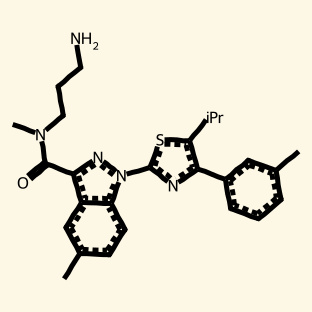 Cc1cccc(-c2nc(-n3nc(C(=O)N(C)CCCN)c4cc(C)ccc43)sc2C(C)C)c1